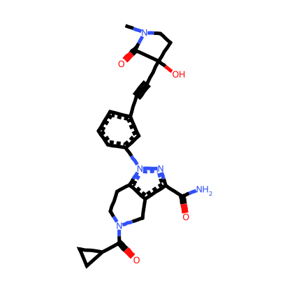 CN1CCC(O)(C#Cc2cccc(-n3nc(C(N)=O)c4c3CCN(C(=O)C3CC3)C4)c2)C1=O